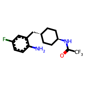 Nc1ccc(F)cc1C[C@H]1CC[C@H](NC(=O)C(F)(F)F)CC1